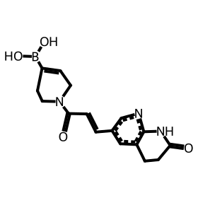 O=C1CCc2cc(C=CC(=O)N3CC=C(B(O)O)CC3)cnc2N1